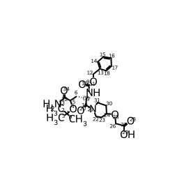 CC(C)(C)OC(C[C@H](NC(=O)OCc1ccccc1)C(=O)N1CCC(OCC(=O)O)CC1)C(N)=O